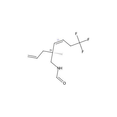 C=CC[C@@](C)(/C=C\CC(F)(F)F)CNC=O